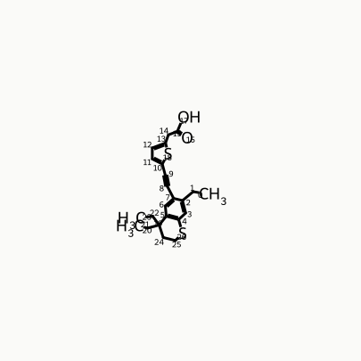 CCc1cc2c(cc1C#Cc1ccc(CC(=O)O)s1)C(CC)(CC)CCS2